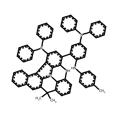 Cc1ccc(Nc2ccc(N(c3ccccc3)c3ccccc3)cc2-c2cc(N(c3ccccc3)c3ccccc3)c3c4c5ccccc5cc5c4n4c3c2Bc2cccc(c2-4)C5(C)C)cc1